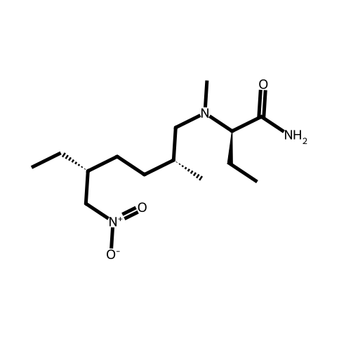 CC[C@H](CC[C@@H](C)CN(C)[C@H](CC)C(N)=O)C[N+](=O)[O-]